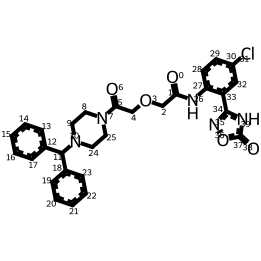 O=C(COCC(=O)N1CCN(C(c2ccccc2)c2ccccc2)CC1)Nc1ccc(Cl)cc1-c1noc(=O)[nH]1